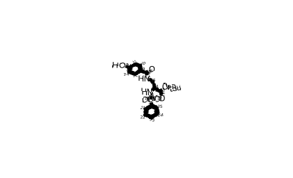 CC(C)(C)OC(=O)C(CNC(=O)c1ccc(O)cc1)NS(=O)(=O)c1ccccc1